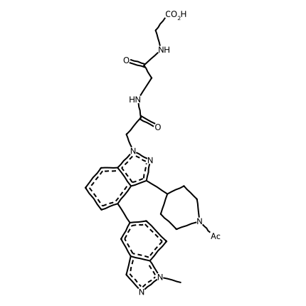 CC(=O)N1CCC(c2nn(CC(=O)NCC(=O)NCC(=O)O)c3cccc(-c4ccc5c(cnn5C)c4)c23)CC1